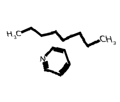 CCCCCCCC.c1ccncc1